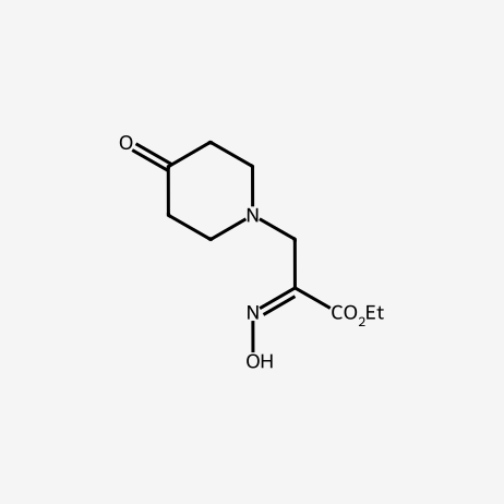 CCOC(=O)C(CN1CCC(=O)CC1)=NO